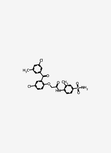 Cc1cc(Cl)cc(C(=O)c2cc(Cl)ccc2OCC(=O)Nc2ccc(S(N)(=O)=O)cc2C)c1